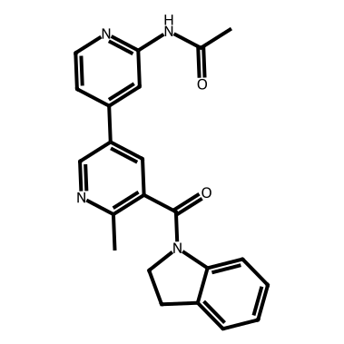 CC(=O)Nc1cc(-c2cnc(C)c(C(=O)N3CCc4ccccc43)c2)ccn1